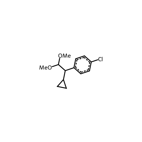 COC(OC)C(c1ccc(Cl)cc1)C1CC1